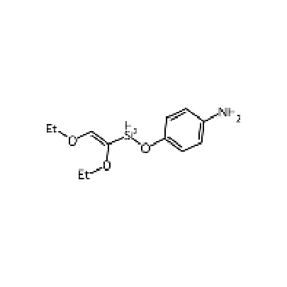 CCOC=C(OCC)[SiH2]Oc1ccc(N)cc1